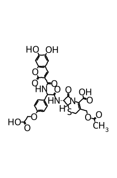 CC(=O)OCC1=C(C(=O)O)N2C(=O)[C@@H](NC(=O)C(NC(=O)c3cc4cc(O)c(O)cc4oc3=O)c3ccc(OCC(=O)O)cc3)[C@H]2SC1